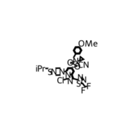 COc1ccc(CN(C2(C#N)CC2)S(=O)(=O)c2cc(N3CCN(SCC(C)C)CC3)n3c(Cl)nc(-c4nnc(C(F)F)s4)c3c2)cc1